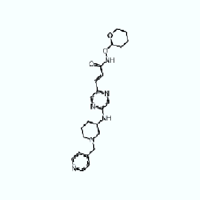 O=C(/C=C/c1cnc(N[C@@H]2CCCN(Cc3ccncc3)C2)cn1)NOC1CCCCO1